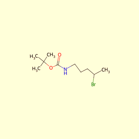 CC(Br)CCCNC(=O)OC(C)(C)C